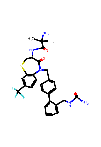 CC(C)(N)C(=O)N[C@@H]1CSc2cc(C(F)(F)F)ccc2N(Cc2ccc(-c3ccccc3CNC(N)=O)cc2)C1=O